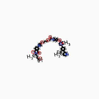 C\C=C(/C=C\C(=C/C)c1ccc(-c2cnccc2C)c(CC)c1)OC1CC2(C1)CN(C(=O)COCCCOC1CN(c3ccc4c(c3)C(=O)N(C(C)CCC(=O)C(C)C)C4=O)C1)C2